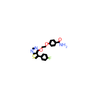 NC(=O)c1ccc(OCCOc2ncnc3scc(-c4ccc(F)cc4)c23)cc1